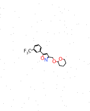 FC(F)(F)c1cccc(-c2cc(COC3CCCCO3)no2)c1